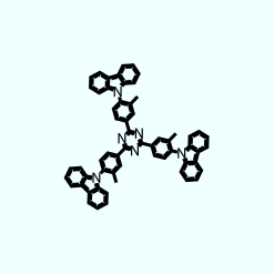 Cc1cc(-c2nc(-c3ccc(-n4c5ccccc5c5ccccc54)c(C)c3)nc(-c3ccc(-n4c5ccccc5c5ccccc54)c(C)c3)n2)ccc1-n1c2ccccc2c2ccccc21